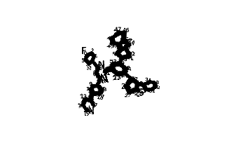 Fc1ccc(-c2cc(-c3ccc(-c4cccnc4)cc3)nc(-c3cc(-c4ccc5sc6ccccc6c5c4)cc(-c4ccc5sc6ccccc6c5c4)c3)n2)cc1